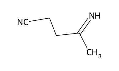 CC(=N)CCC#N